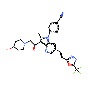 Cc1c(C(=O)CN2CCC(O)CC2)c2ncc(/C=C/c3nnc(C(F)(F)F)o3)cc2n1-c1ccc(C#N)cc1